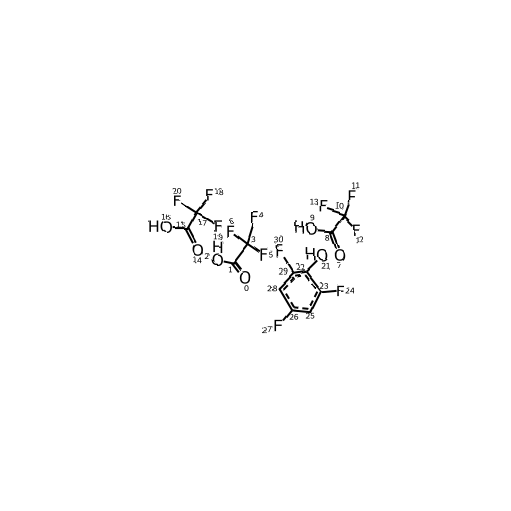 O=C(O)C(F)(F)F.O=C(O)C(F)(F)F.O=C(O)C(F)(F)F.Oc1c(F)cc(F)cc1F